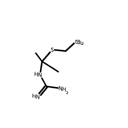 CC(C)(C)CSC(C)(C)NC(=N)N